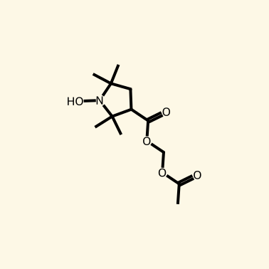 CC(=O)OCOC(=O)C1CC(C)(C)N(O)C1(C)C